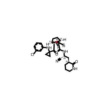 N#C[C@@H](C[C@@H]1CCCNC1=O)NC(=O)[C@H]1[C@@H]2CC[C@@H](CC2(F)F)N1C(=O)C1(Nc2cccc(Cl)c2)CC1